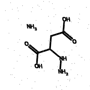 N.NNC(CC(=O)O)C(=O)O